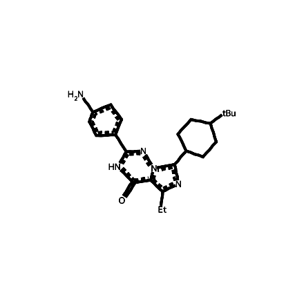 CCc1nc(C2CCC(C(C)(C)C)CC2)n2nc(-c3ccc(N)cc3)[nH]c(=O)c12